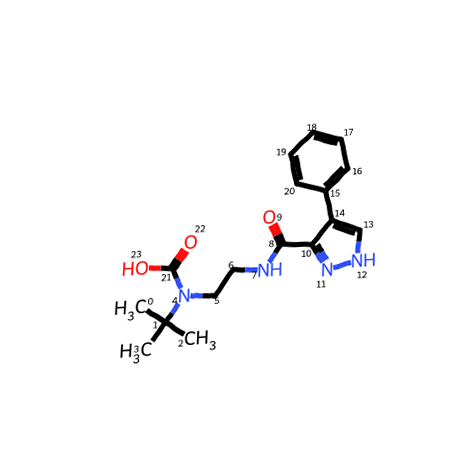 CC(C)(C)N(CCNC(=O)c1n[nH]cc1-c1ccccc1)C(=O)O